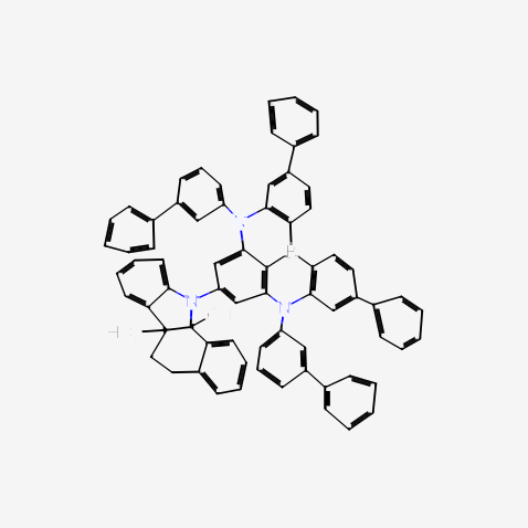 CC12CCc3ccccc3C1(C)N(c1cc3c4c(c1)N(c1cccc(-c5ccccc5)c1)c1cc(-c5ccccc5)ccc1B4c1ccc(-c4ccccc4)cc1N3c1cccc(-c3ccccc3)c1)c1ccccc12